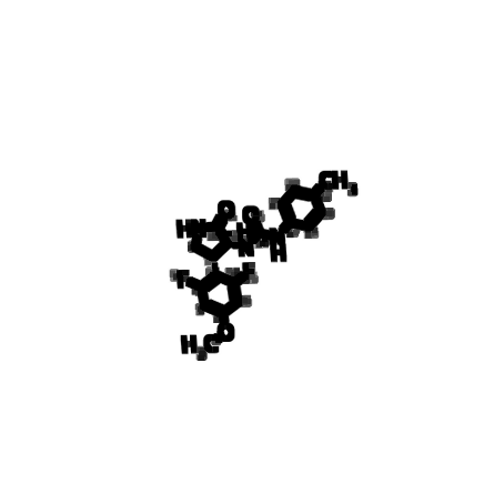 COc1cc(F)c([C@@H]2CNC(=O)[C@@H]2NC(=O)Nc2ccc(C)cc2)c(F)c1